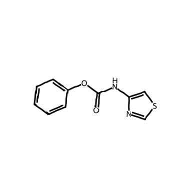 O=C(Nc1cscn1)Oc1ccccc1